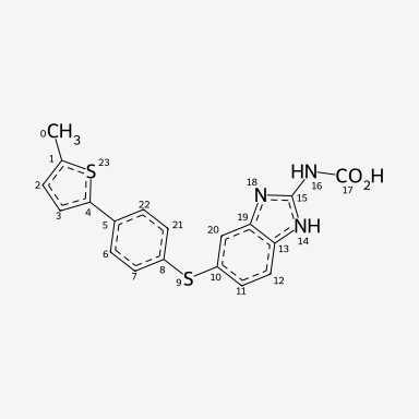 Cc1ccc(-c2ccc(Sc3ccc4[nH]c(NC(=O)O)nc4c3)cc2)s1